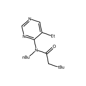 CCCCN(C(=O)CC(C)(C)C)c1ncncc1CC